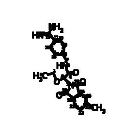 CCO[C@@H](C(=O)NCc1ccc(C(=N)N)cc1)N1C(=O)c2ccc(C)cc2C1=O